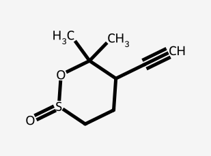 C#CC1CCS(=O)OC1(C)C